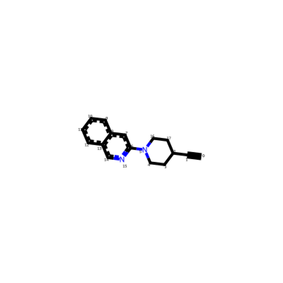 C#CC1CCN(c2cc3ccccc3cn2)CC1